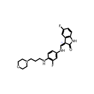 O=C1Nc2ccc(F)cc2/C1=C/Nc1ccc(NCCCN2CCOCC2)c(F)c1